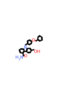 NC(=O)c1cccc2c1c1[c]cc(CO)cc1n2Cc1ccc(OCc2ccccc2)cc1